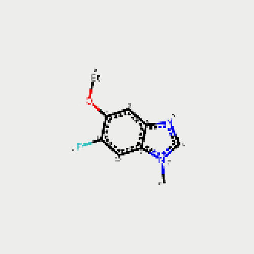 CCOc1cc2n[c]n(C)c2cc1F